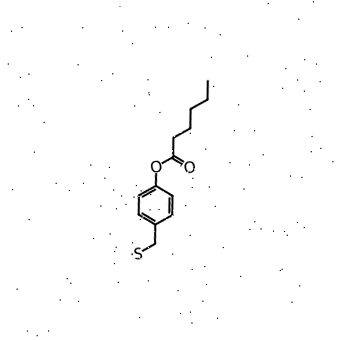 CCCCCC(=O)Oc1ccc(C[S])cc1